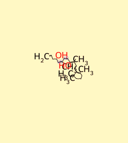 C=CCC(O)/C=C(C)\C=C/C(O)=C(C)C=CC1=C(C)CCCC1(C)C